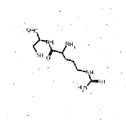 N=C(N)NCCCC(N)C(=O)NC([C]=O)CS